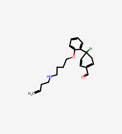 C=CCCNCCCCOc1ccccc1C1(Br)C=CC(C=O)=CC1